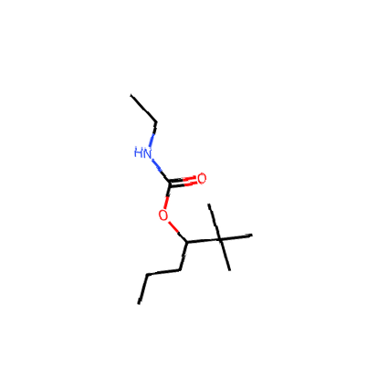 CCCC(OC(=O)NCC)C(C)(C)C